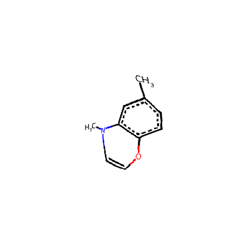 Cc1ccc2c(c1)N(C)C=CO2